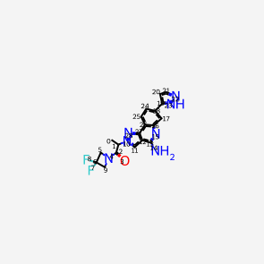 CC(C(=O)N1CC(F)(F)C1)n1cc2c(N)nc3cc(-c4ccn[nH]4)ccc3c2n1